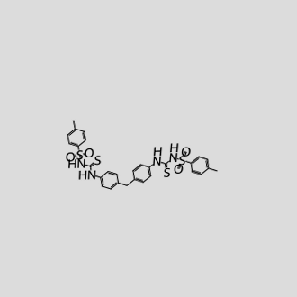 Cc1ccc(S(=O)(=O)NC(=S)Nc2ccc(Cc3ccc(NC(=S)NS(=O)(=O)c4ccc(C)cc4)cc3)cc2)cc1